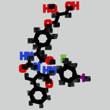 CC(c1ccccc1)C(C(=O)Nc1ccc(I)cc1F)N1C(=O)NC(c2ccc(OCC(O)CO)cc2)C1=O